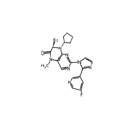 CC[C@@H]1C(=O)N(C)c2cnc(-n3ccnc3-c3cncc(F)c3)nc2N1C1CCCC1